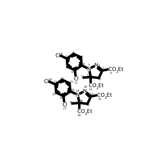 CCOC(=O)C1=NN(c2ccc(Cl)cc2Cl)C(C)(C(=O)OCC)C1.CCOC(=O)C1=NN(c2ccc(Cl)cc2Cl)C(C)(C(=O)OCC)C1